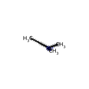 CCCCCCCCCCCCCCCCCCCn1cc[n+](CC)c1CCCCCCCCC